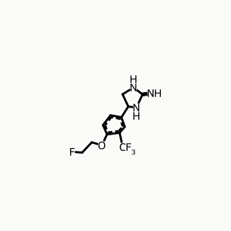 N=C1NCC(c2ccc(OCCF)c(C(F)(F)F)c2)N1